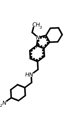 CCn1c2c(c3cc(CNCC4CCC(N)CC4)ccc31)CCCC2